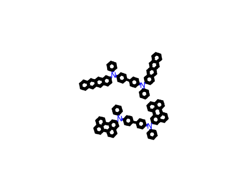 c1ccc(N(c2ccc(-c3ccc(N(c4ccccc4)c4cc5cccc6c7cccc8cccc(c(c4)c56)c87)cc3)cc2)c2cc3cccc4c5cccc6cccc(c(c2)c34)c65)cc1.c1ccc(N(c2ccc(-c3ccc(N(c4ccccc4)c4ccc5cc6cc7ccccc7cc6cc5c4)cc3)cc2)c2ccc3cc4cc5ccccc5cc4cc3c2)cc1